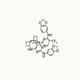 FC(F)(F)c1cnc(NC2CCC2C2CCC2Nc2nc(Nc3ccc4c(c3)OCO4)ncc2C(F)(F)F)nc1Nc1ccc2c(c1)OCO2